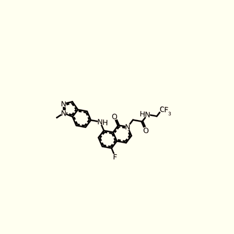 Cn1ncc2cc(Nc3ccc(F)c4ccn(CC(=O)NCC(F)(F)F)c(=O)c34)ccc21